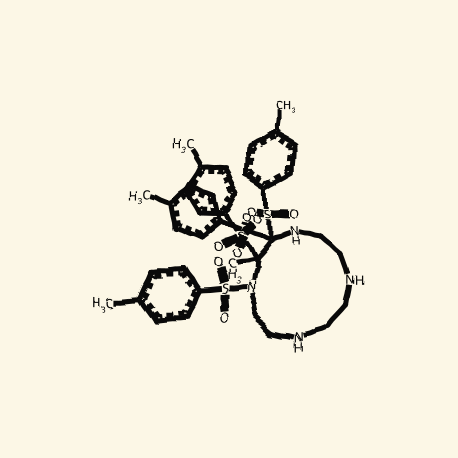 Cc1ccc(S(=O)(=O)N2CCNCCNCCNC(S(=O)(=O)c3ccc(C)cc3)(S(=O)(=O)c3ccc(C)cc3)C2(C)S(=O)(=O)c2ccc(C)cc2)cc1